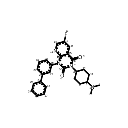 CN(C)C1CCC(n2c(=O)c3cc(F)cnc3n(-c3cccc(-c4ccccc4)c3)c2=O)CC1